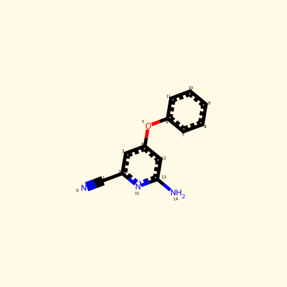 N#Cc1cc(Oc2ccccc2)cc(N)n1